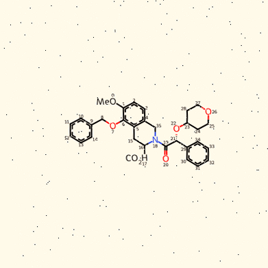 COc1ccc2c(c1OCc1ccccc1)CC(C(=O)O)N(C(=O)[C@H](OC1CCOCC1)c1ccccc1)C2